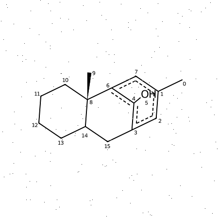 Cc1cc2c(O)c(c1)[C@@]1(C)CCCCC1C2